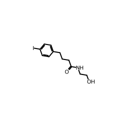 O=C(CCCc1ccc(I)cc1)NCCO